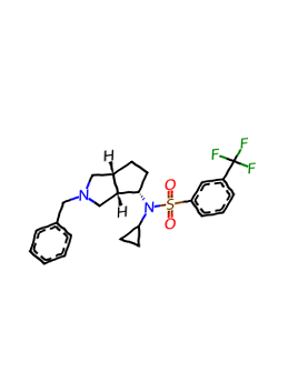 O=S(=O)(c1cccc(C(F)(F)F)c1)N(C1CC1)[C@H]1CC[C@H]2CN(Cc3ccccc3)C[C@H]21